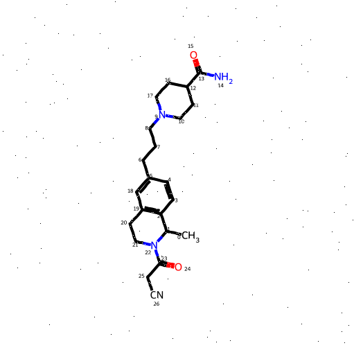 CC1c2ccc(CCCN3CCC(C(N)=O)CC3)cc2CCN1C(=O)CC#N